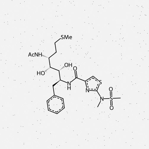 CSCC[C@@H](NC(C)=O)[C@@H](O)[C@H](O)[C@H](Cc1ccccc1)NC(=O)c1csc(N(C)S(C)(=O)=O)n1